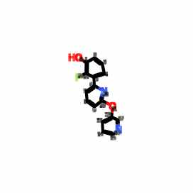 Oc1cccc(-c2cccc(Oc3cccnc3)n2)c1F